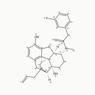 C=CCN1CC[C@]23c4c5ccc(O)c4O[C@H]2[C@H](N(C)C(=O)Cc2cccc(F)c2)CC[C@@]3(O)[C@H]1C5